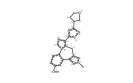 COc1ccc2c(c1)-c1nn(C)cc1Cc1c(-c3nc(C4CCOC4)no3)ncn1-2